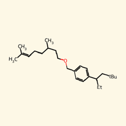 CCC(CC(C)(C)C)c1ccc(COCCC(C)CCC=C(C)C)cc1